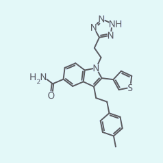 Cc1ccc(CCc2c(-c3ccsc3)n(CCc3nn[nH]n3)c3ccc(C(N)=O)cc23)cc1